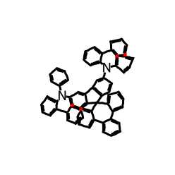 c1ccc(-c2ccccc2N(c2ccccc2)c2ccc3c(c2)-c2cc(N(c4ccccc4)c4ccccc4-c4ccccc4)ccc2C32c3ccccc3-c3ccccc3-c3ccccc32)cc1